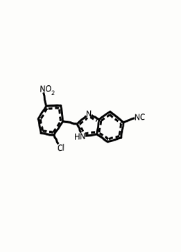 [C-]#[N+]c1ccc2[nH]c(-c3cc([N+](=O)[O-])ccc3Cl)nc2c1